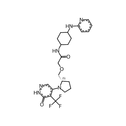 O=C(COC[C@@H]1CCCN1c1cn[nH]c(=O)c1C(F)(F)F)NC1CCC(Nc2ccccn2)CC1